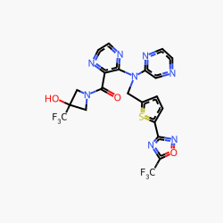 O=C(c1nccnc1N(Cc1ccc(-c2noc(C(F)(F)F)n2)s1)c1cnccn1)N1CC(O)(C(F)(F)F)C1